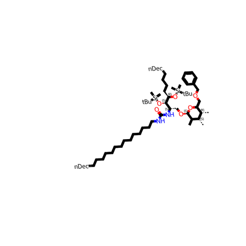 CCCCCCCCCCCCCCCCCCCCCCCCNC(=O)N[C@@H](CO[C@H]1OC(COCc2ccccc2)[C@H](C)[C@H](C)C1C)[C@H](O[Si](C)(C)C(C)(C)C)[C@@H](CCCCCCCCCCCCCC)O[Si](C)(C)C(C)(C)C